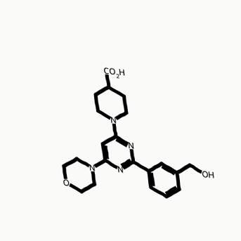 O=C(O)C1CCN(c2cc(N3CCOCC3)nc(-c3cccc(CO)c3)n2)CC1